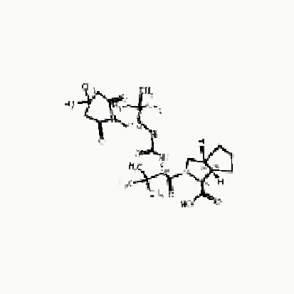 CC1(C)CC(=O)N(C[C@@H](NC(=O)N[C@H](C(=O)N2C[C@@H]3CCC[C@@H]3[C@H]2C(=O)O)C(C)(C)C)C(C)(C)C)C(=O)C1